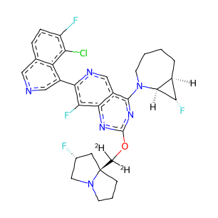 [2H]C([2H])(Oc1nc(N2CCCC[C@H]3[C@H](F)[C@H]32)c2cnc(-c3cncc4ccc(F)c(Cl)c34)c(F)c2n1)[C@@]12CCCN1C[C@H](F)C2